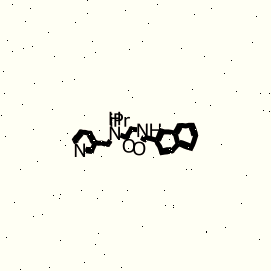 CC(C)[C@@H](NC(=O)c1ccc2ccccc2c1)C(=O)NCc1cccnc1